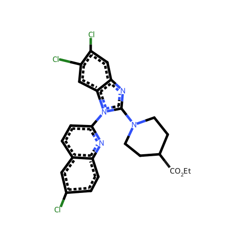 CCOC(=O)C1CCN(c2nc3cc(Cl)c(Cl)cc3n2-c2ccc3cc(Cl)ccc3n2)CC1